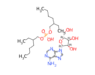 CCCCC(CC)COP(=O)(O)OCC(CC)CCCC.Nc1ncnc2c1ncn2[C@@H]1O[C@H](CO)[C@@H](O)[C@H]1O